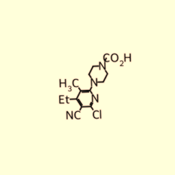 CCc1c(C)c(N2CCN(C(=O)O)CC2)nc(Cl)c1C#N